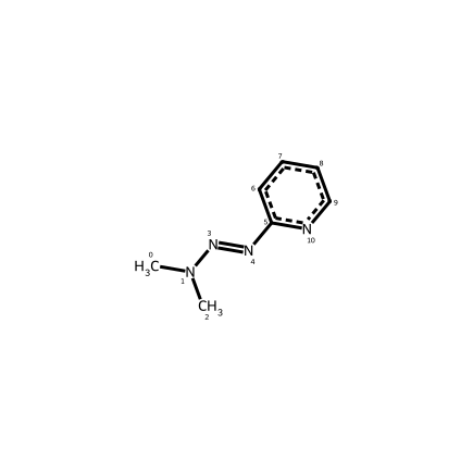 CN(C)N=Nc1ccccn1